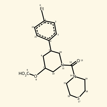 CCc1ccc(C2CC(OC(=O)O)CN(C(=O)N3CCSCC3)C2)cc1